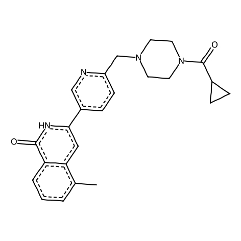 Cc1cccc2c(=O)[nH]c(-c3ccc(CN4CCN(C(=O)C5CC5)CC4)nc3)cc12